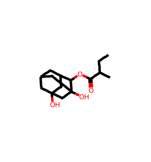 CCC(C)C(=O)OC1C2CC3CC(O)(C2)CC1(O)C3